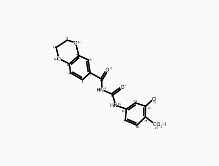 O=C(NC(=O)c1ccc2c(c1)OCCO2)Nc1ccc(C(=O)O)c(Cl)c1